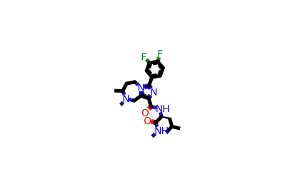 CNC(=O)[C@H](CC(C)C)NC(=O)c1nc(-c2ccc(F)c(F)c2)n2c1CN(C)C(C)CC2